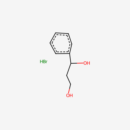 Br.OCCC(O)c1ccccc1